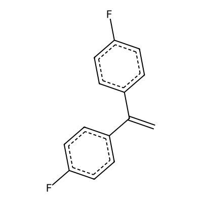 C=C(c1ccc(F)cc1)c1ccc(F)cc1